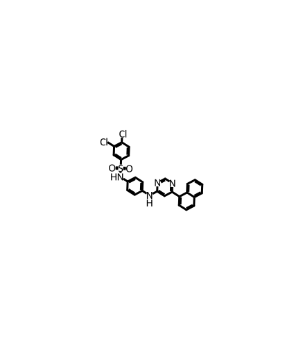 O=S(=O)(Nc1ccc(Nc2cc(-c3cccc4ccccc34)ncn2)cc1)c1ccc(Cl)c(Cl)c1